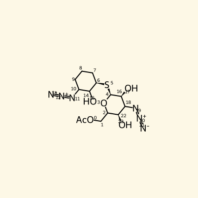 CC(=O)OCC1O[C@@H](S[C@@H]2CCCC(N=[N+]=[N-])C2O)[C@@H](O)C(N=[N+]=[N-])[C@H]1O